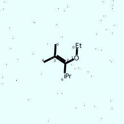 CCOC(=C(C)C)C(C)C